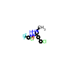 CCCN1CCC(CNC(=O)Nc2cc(C(F)(F)F)ccc2Cl)(c2ccc(-c3cccc(Cl)c3)cc2)CC1